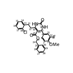 COc1ccc(C2NC(=O)NC(CCc3ccccc3Cl)=C2C(=O)OCc2ccccc2)cc1F